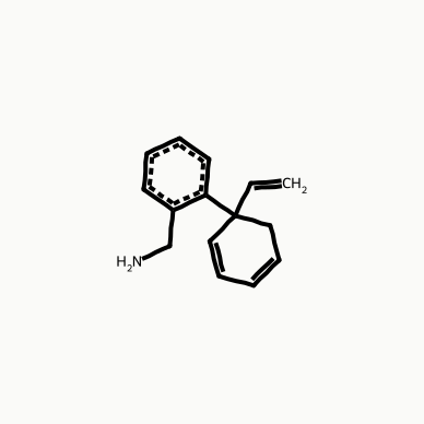 C=CC1(c2ccccc2CN)C=CC=CC1